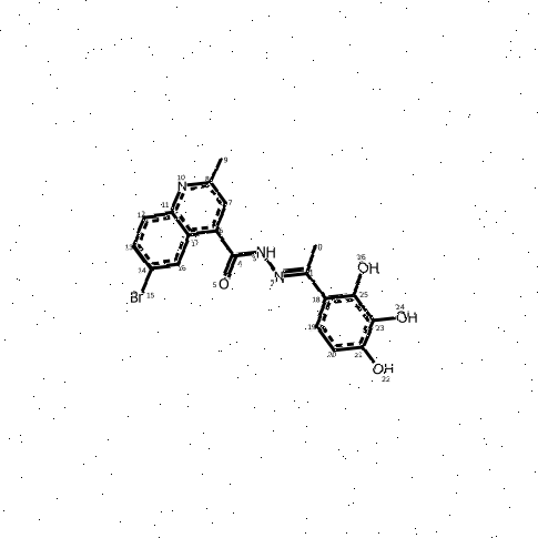 C/C(=N\NC(=O)c1cc(C)nc2ccc(Br)cc12)c1ccc(O)c(O)c1O